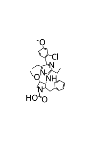 CCO[C@H]1CN(C(=O)O)C(Cc2ccccc2)[C@H]1Nc1nc(CC)c(-c2ccc(OC)cc2Cl)nc1CC